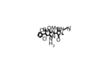 COn1c(=O)c(-c2c(Cl)cccc2Cl)cc2c(N)nc(C3C=C(NCCN(C)C)N(C)C3=C=O)nc21